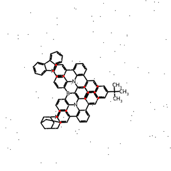 CC(C)(C)c1ccc(-c2cc3c4c(c2)N(c2c(-c5ccccc5)cccc2-c2ccccc2)c2cc(-n5c6ccccc6c6ccccc65)ccc2B4c2ccc(N4C5CC6CC(C5)CC4C6)cc2N3c2c(-c3ccccc3)cccc2-c2ccccc2)cc1